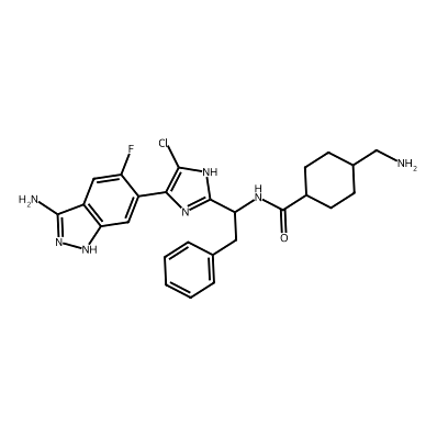 NCC1CCC(C(=O)NC(Cc2ccccc2)c2nc(-c3cc4[nH]nc(N)c4cc3F)c(Cl)[nH]2)CC1